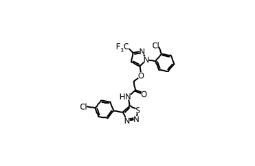 O=C(COc1cc(C(F)(F)F)nn1-c1ccccc1Cl)Nc1snnc1-c1ccc(Cl)cc1